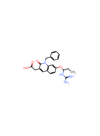 CCC(NC(=N)N)Oc1ccc2cc(CC(=O)O)c(=O)n(Cc3ccccc3)c2c1